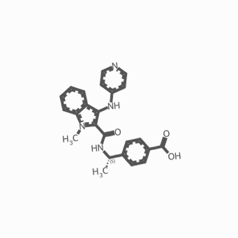 C[C@H](NC(=O)c1c(Nc2ccncc2)c2ccccc2n1C)c1ccc(C(=O)O)cc1